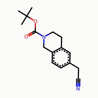 CC(C)(C)OC(=O)N1CCc2cc(CC#N)ccc2C1